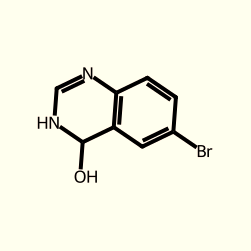 OC1NC=Nc2ccc(Br)cc21